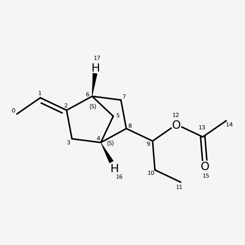 CC=C1C[C@@H]2C[C@H]1CC2C(CC)OC(C)=O